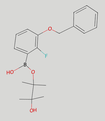 CC(C)(O)C(C)(C)OB(O)c1cccc(OCc2ccccc2)c1F